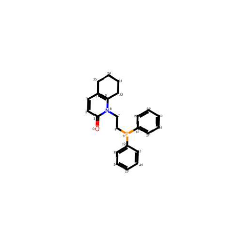 O=c1ccc2c(n1CCP(c1ccccc1)c1ccccc1)CCCC2